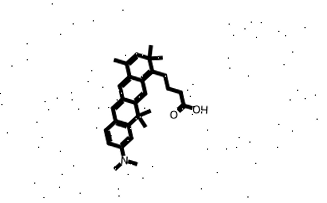 CC1=CC(C)(C)C(CCCC(=O)O)=c2cc3c(cc21)=Cc1ccc(N(C)C)cc1C3(C)C